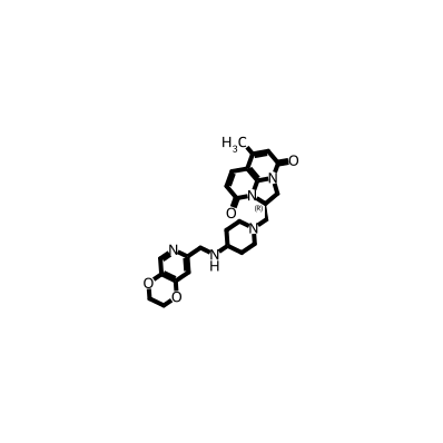 Cc1cc(=O)n2c3c1ccc(=O)n3[C@H](CN1CCC(NCc3cc4c(cn3)OCCO4)CC1)C2